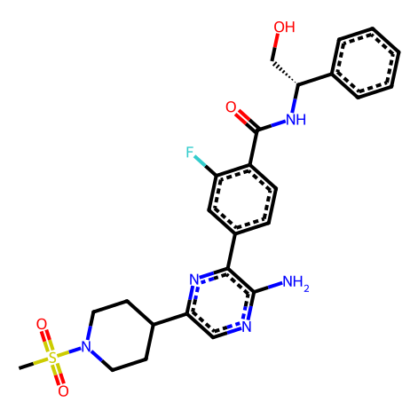 CS(=O)(=O)N1CCC(c2cnc(N)c(-c3ccc(C(=O)N[C@H](CO)c4ccccc4)c(F)c3)n2)CC1